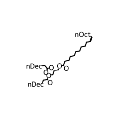 CCCCCCCC/C=C\CCCCCCCCCC(=O)OC[C@@H](COC(=O)CCCCCCCCCCC)OC(=O)CCCCCCCCCCC